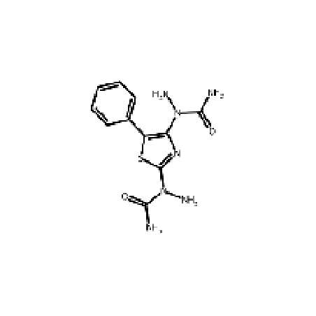 NC(=O)N(N)c1nc(N(N)C(N)=O)c(-c2ccccc2)s1